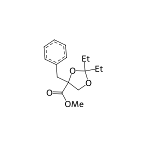 CCC1(CC)OCC(Cc2ccccc2)(C(=O)OC)O1